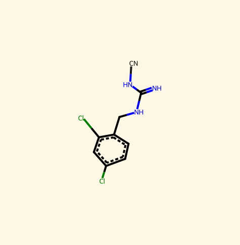 N#CNC(=N)NCc1ccc(Cl)cc1Cl